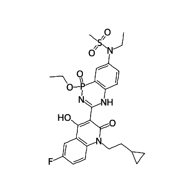 CCOP1(=O)N=C(c2c(O)c3cc(F)ccc3n(CCC3CC3)c2=O)Nc2ccc(N(CC)S(C)(=O)=O)cc21